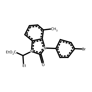 CCOC(=O)C(CC)n1c(=O)n(-c2ccc(Br)cc2)c2c(C)cccc21